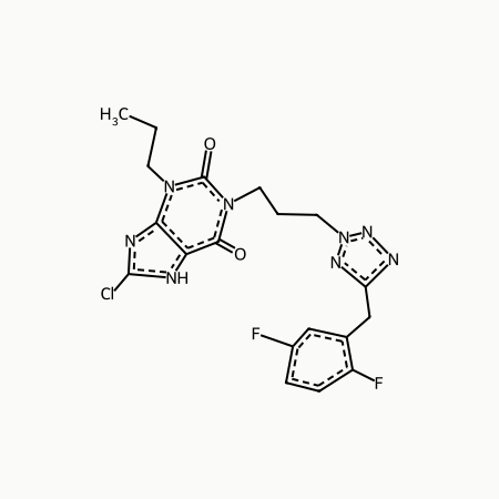 CCCn1c(=O)n(CCCn2nnc(Cc3cc(F)ccc3F)n2)c(=O)c2[nH]c(Cl)nc21